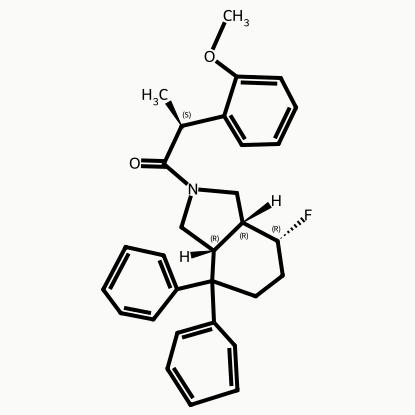 COc1ccccc1[C@H](C)C(=O)N1C[C@@H]2[C@H](F)CCC(c3ccccc3)(c3ccccc3)[C@@H]2C1